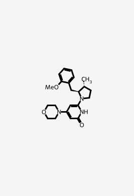 COc1ccccc1C[C@H]1[C@H](C)CCN1c1cc(N2CCOCC2)cc(=O)[nH]1